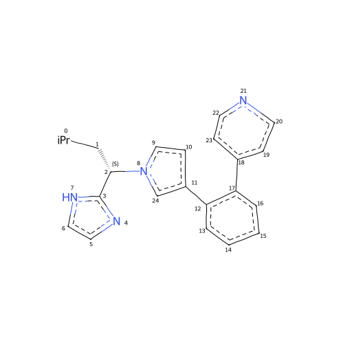 CC(C)C[C@@H](c1ncc[nH]1)n1ccc(-c2ccccc2-c2ccncc2)c1